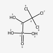 O=P(O)(O)C(O)C(Cl)(Cl)Cl